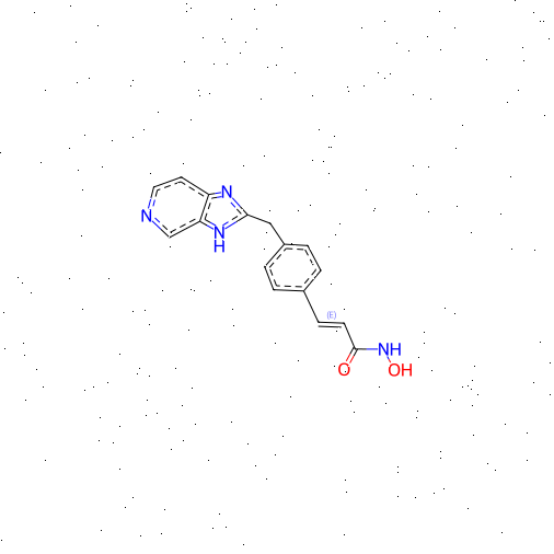 O=C(/C=C/c1ccc(Cc2nc3ccncc3[nH]2)cc1)NO